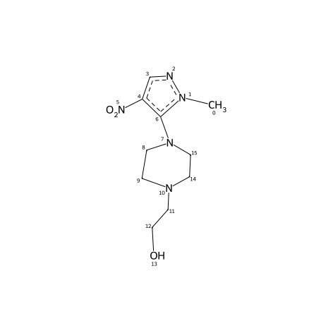 Cn1ncc([N+](=O)[O-])c1N1CCN(CCO)CC1